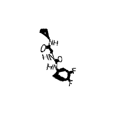 O=C(CNC(=O)Nc1ccc(F)c(F)c1)NC1CC1